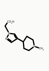 CN1CCC(c2cnn(CC(=O)O)c2)CC1